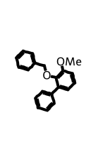 COc1cccc(-c2ccccc2)c1OCc1ccccc1